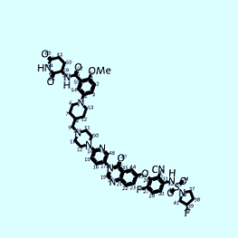 COc1ccc(N2CCC(CN3CCN(c4ccc(-n5cnc6ccc(Oc7c(F)ccc(NS(=O)(=O)N8CC[C@@H](F)C8)c7C#N)cc6c5=O)cn4)CC3)CC2)cc1C(=O)NC1CCC(=O)NC1=O